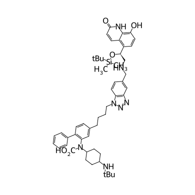 CC(C)(C)NC1CCC(N(C(=O)O)c2cc(CCCCn3nnc4cc(CNC[C@@H](O[Si](C)(C)C(C)(C)C)c5ccc(O)c6[nH]c(=O)ccc56)ccc43)ccc2-c2ccccc2)CC1